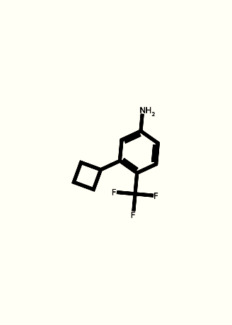 Nc1ccc(C(F)(F)F)c(C2CCC2)c1